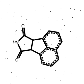 O=C1NC(=O)C2c3cccc4cccc(c34)C12